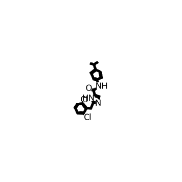 CC(C)c1ccc(NC(=O)c2cnc(Cc3c(Cl)cccc3Cl)[nH]2)cc1